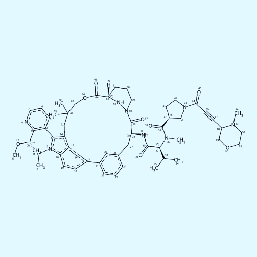 CCn1c(-c2cccnc2[C@H](C)OC)c2c3cc(ccc31)-c1cccc(c1)C[C@H](NC(=O)[C@H](C(C)C)N(C)C(=O)[C@H]1CCN(C(=O)C#CC3COCCN3C)C1)C(=O)N1CCC[C@H](N1)C(=O)OCC(C)(C)C2